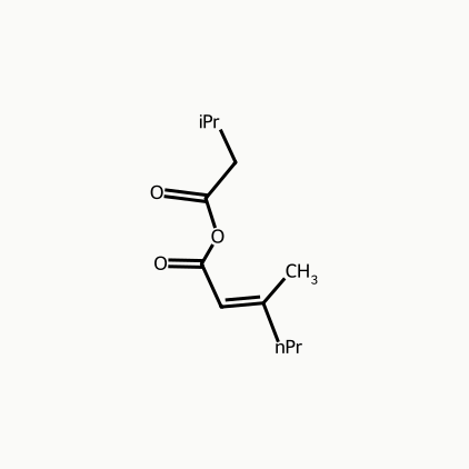 CCCC(C)=CC(=O)OC(=O)CC(C)C